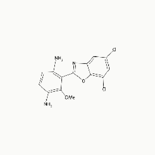 COc1c(N)ccc(N)c1-c1nc2cc(Cl)cc(Cl)c2o1